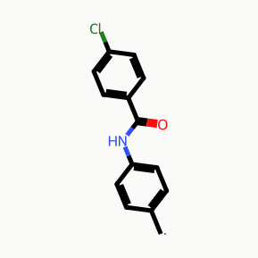 [CH2]c1ccc(NC(=O)c2ccc(Cl)cc2)cc1